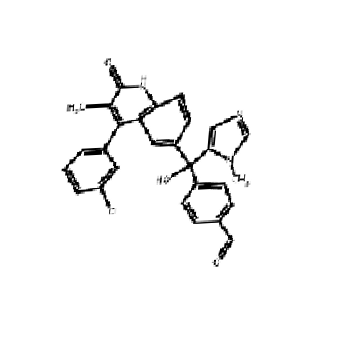 Cc1c(-c2cccc(Cl)c2)c2cc(C(O)(c3ccc(C=O)cc3)c3cncn3C)ccc2[nH]c1=O